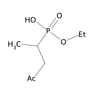 CCOP(=O)(O)C(C)CC(C)=O